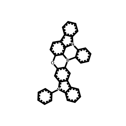 c1ccc(-n2c3ccccc3c3cc4c(cc32)Oc2ccc3c5ccccc5n5c3c2B4c2ccccc2-5)cc1